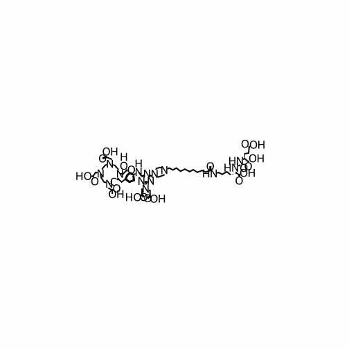 O=C(O)CC[C@H](NC(=O)N[C@@H](CCCCNC(=O)CCCCCCCCCCN1CCN(c2nc(Nc3ccc(CC4CN(CC(=O)O)CCN(CC(=O)O)CCN(CC(=O)O)CCN4CC(=O)O)cc3)nc(N(CC(=O)O)CC(=O)O)n2)CC1)C(=O)O)C(=O)O